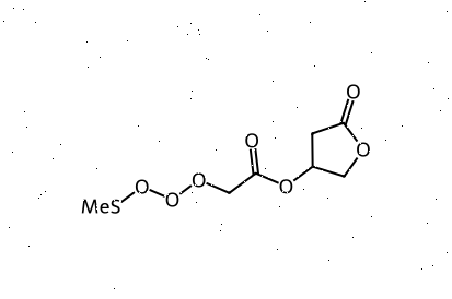 CSOOOCC(=O)OC1COC(=O)C1